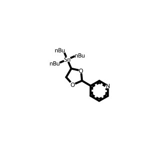 CCC[CH2][Sn]([CH2]CCC)([CH2]CCC)[CH]1COC(c2cccnc2)O1